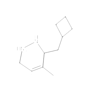 CC1=CCNNC1CC1CCC1